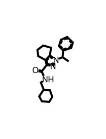 CC(c1ccccc1)n1nc(C(=O)NCC2CCCCC2)c2c1CCCC2